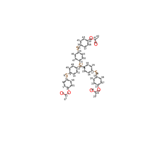 CC(=O)Oc1ccc(Sc2ccc([S+](c3ccc(Sc4ccc(OC(C)=O)cc4)cc3)c3ccc(Sc4ccc(OC(C)=O)cc4)cc3)cc2)cc1